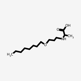 CCCCCCCCOCCCNC(C)C(=O)O